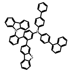 c1ccc(-c2ccc(N(c3ccc(-c4cccc5ccccc45)cc3)c3ccc(-c4ccccc4-n4c5ccccc5c5ccccc54)c(-c4ccc5c(c4)sc4ccccc45)c3)cc2)cc1